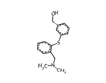 CN(C)Cc1ccccc1Sc1cccc(CO)c1